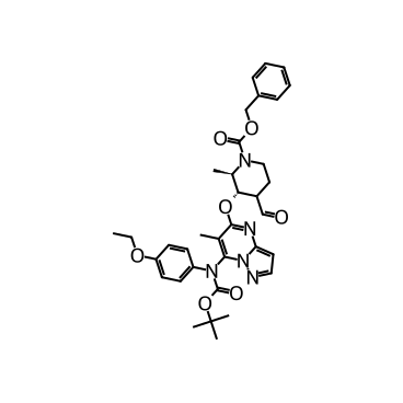 CCOc1ccc(N(C(=O)OC(C)(C)C)c2c(C)c(O[C@H]3C(C=O)CCN(C(=O)OCc4ccccc4)[C@@H]3C)nc3ccnn23)cc1